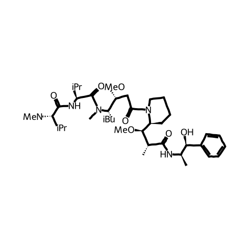 CCC(C)[C@@H]([C@@H](CC(=O)N1CCCC[C@H]1[C@H](OC)[C@@H](C)C(=O)N[C@H](C)[C@@H](O)c1ccccc1)OC)N(C)C(=O)[C@@H](NC(=O)[C@@H](NC)C(C)C)C(C)C